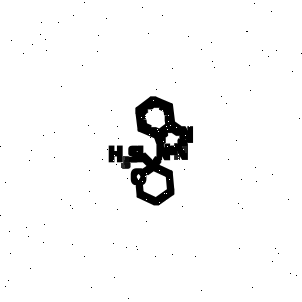 [SiH3]C1(n2nnc3ccccc32)CCCCO1